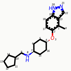 Cc1c(O[C@H]2CC[C@H](NCC3CCCC3)CC2)ccc2[nH]ncc12